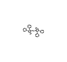 C(=C\c1scc(-c2ccccc2)c1-c1ccccc1)/c1scc(-c2ccccc2)c1-c1ccccc1